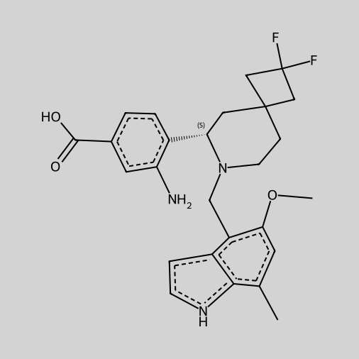 COc1cc(C)c2[nH]ccc2c1CN1CCC2(C[C@H]1c1ccc(C(=O)O)cc1N)CC(F)(F)C2